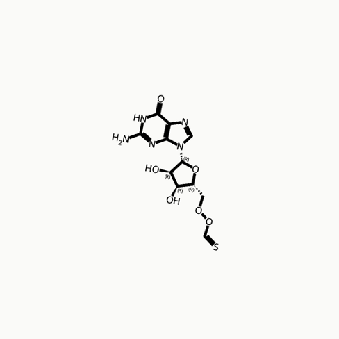 Nc1nc2c(ncn2[C@@H]2O[C@H](COOC=S)[C@@H](O)[C@H]2O)c(=O)[nH]1